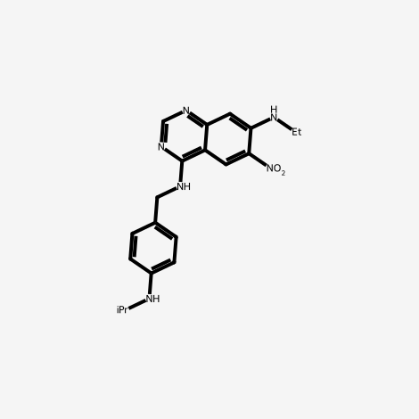 CCNc1cc2ncnc(NCc3ccc(NC(C)C)cc3)c2cc1[N+](=O)[O-]